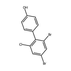 Oc1ccc(-c2c(Cl)cc(Br)cc2Br)cc1